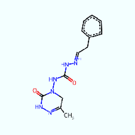 CC1=NNC(=O)N(NC(=O)N/N=C/Cc2ccccc2)C1